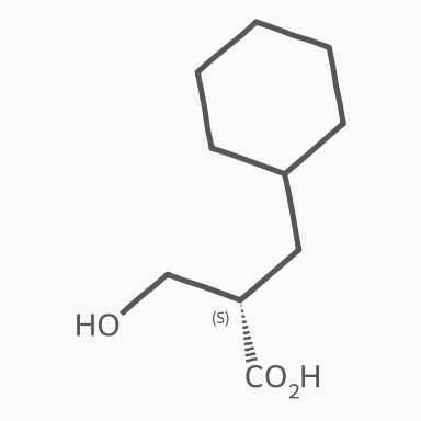 O=C(O)[C@H](CO)CC1CCCCC1